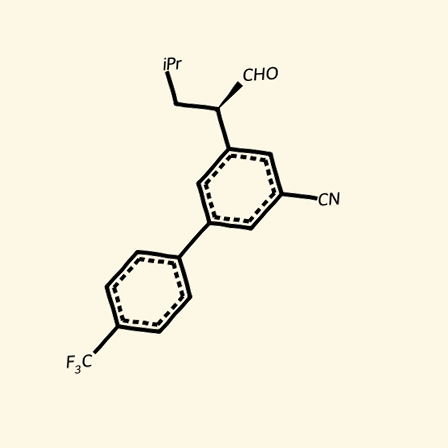 CC(C)C[C@@H](C=O)c1cc(C#N)cc(-c2ccc(C(F)(F)F)cc2)c1